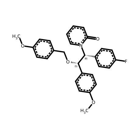 COc1ccc(CO[C@@H](c2ccc(OC)cc2)[C@@H](c2ccc(F)cc2)n2ccccc2=O)cc1